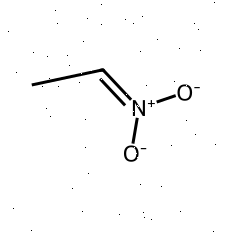 CC=[N+]([O-])[O-]